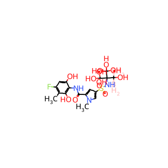 BC(B)(O)C(NS(=O)(=O)c1cc(C(=O)Nc2c(O)cc(F)c(C)c2O)n(C)c1)(C(O)(O)O)C(O)(O)O